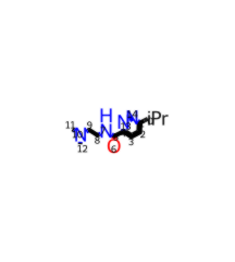 CC(C)c1ccc(C(=O)NCCN(C)C)nn1